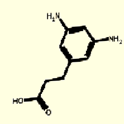 Nc1cc(N)cc(CCC(=O)O)c1